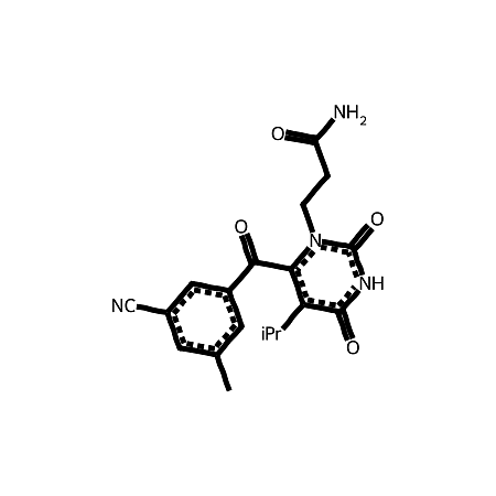 Cc1cc(C#N)cc(C(=O)c2c(C(C)C)c(=O)[nH]c(=O)n2CCC(N)=O)c1